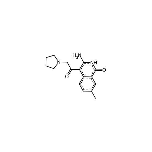 Cc1ccc2c(C(=O)CN3CCCC3)c(N)[nH]c(=O)c2c1